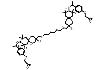 CCC1(COCCCCCCOCC2(CC)COC3(CC(C)(C)N(OC(C)c4ccc(OCC5CO5)cc4)C(CC)(CC)C3)OC2)COC2(CC(C)(C)N(OC(C)c3ccc(OCC4CO4)cc3)C(CC)(CC)C2)OC1